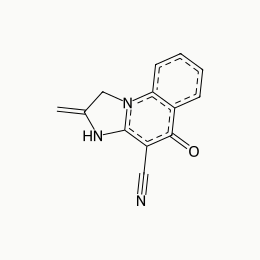 C=C1Cn2c(c(C#N)c(=O)c3ccccc32)N1